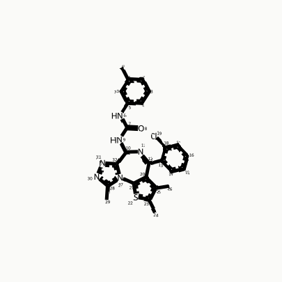 Cc1cccc(NC(=O)NC2N=C(c3ccccc3Cl)c3c(sc(C)c3C)-n3c(C)nnc32)c1